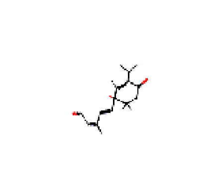 CC1=C(C(C)C)C(=O)CC(C)(C)C1(O)/C=C/C(C)=C\C=O